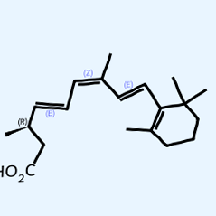 CC1=C(/C=C/C(C)=C\C=C\[C@H](C)CC(=O)O)C(C)(C)CCC1